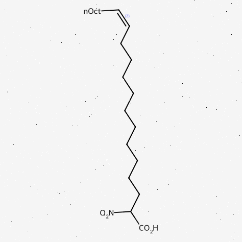 CCCCCCCC/C=C\CCCCCCCCCCC(C(=O)O)[N+](=O)[O-]